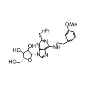 CCCSc1nc(NCCc2cccc(OC)c2)c2ncn([C@@H]3O[C@H](CO)[C@@H](O)[C@H]3O)c2n1